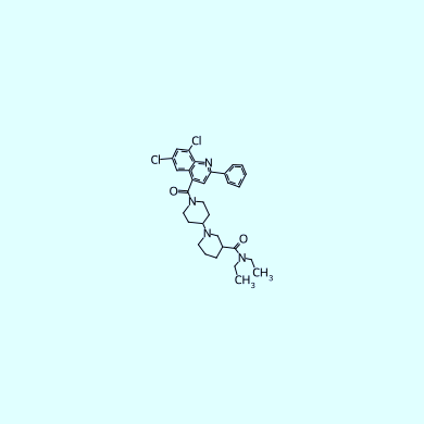 CCN(CC)C(=O)C1CCCN(C2CCN(C(=O)c3cc(-c4ccccc4)nc4c(Cl)cc(Cl)cc34)CC2)C1